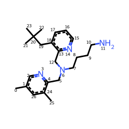 Cc1cnc(CN(CCCCN)Cc2ncccc2CC(C)(C)C)c(C)c1